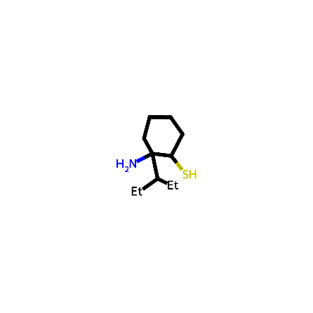 CCC(CC)C1(N)CCCCC1S